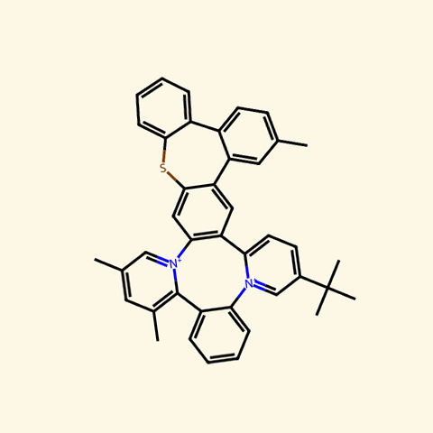 Cc1ccc2c3ccccc3sc3cc4c(cc3c2c1)c1ccc(C(C)(C)C)c[n+]1c1ccccc1c1c(C)cc(C)c[n+]41